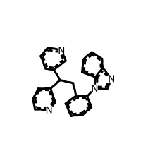 c1cncc(C(Cc2ccccc2-n2cnc3ccccc32)c2cccnc2)c1